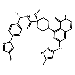 CO[C@]1(C(=O)N[C@@H](C)c2ccc(-n3cc(F)cn3)nc2)CC[C@H](c2nc(Nc3cc(C)[nH]n3)cc3cc[nH]c(=O)c32)CC1